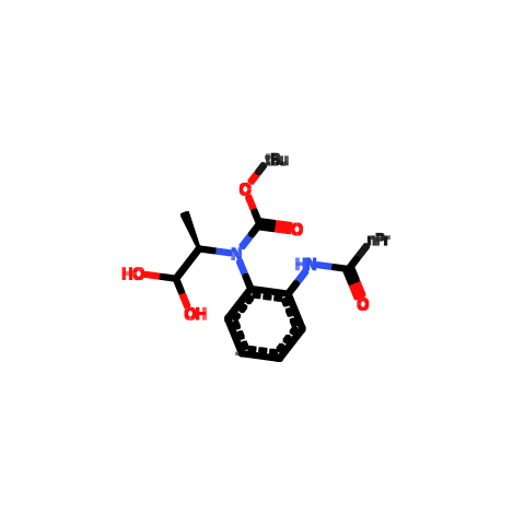 CCCC(=O)Nc1cc[c]cc1N(C(=O)OC(C)(C)C)[C@H](C)C(O)O